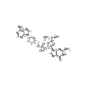 NC[C@H]1[C@@H](OP(=O)(O)OC[C@@H]2CC[C@H](n3cnc4c(N)ncnc43)O2)[C@H](n2cnc3c(=O)[nH]c(N)nc32)O[C@@H]1CO